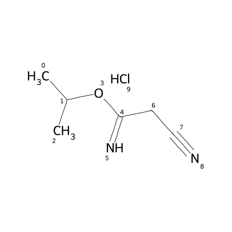 CC(C)OC(=N)CC#N.Cl